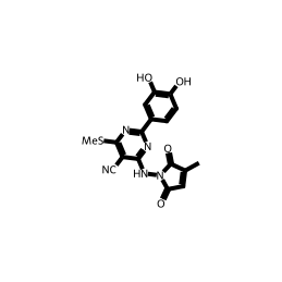 CSc1nc(-c2ccc(O)c(O)c2)nc(NN2C(=O)C=C(C)C2=O)c1C#N